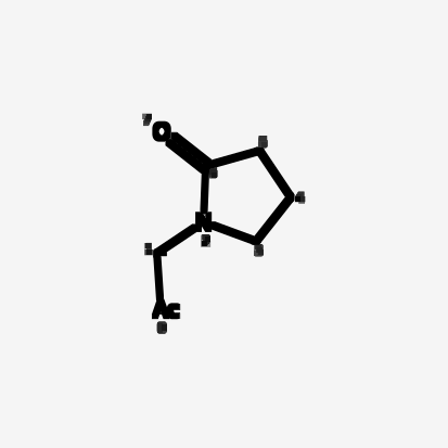 CC(=O)[CH]N1CCCC1=O